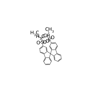 CCC(C)S(=O)(=O)c1ccc2c(c1)C1(c3ccccc3-2)c2ccccc2-c2ccc(S(=O)(=O)C(C)CC)cc21